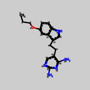 CCCOc1ccc2[nH]cc(CCc3cnc(N)nc3N)c2c1